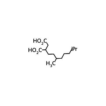 CC(C)CCCC(C)CCC(CC(=O)O)C(=O)O